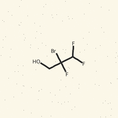 OCC(F)(Br)C(F)F